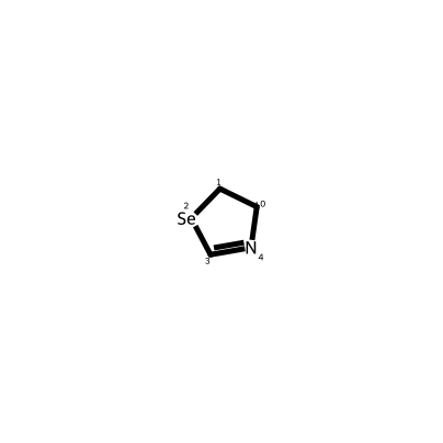 [CH]1C[Se]C=N1